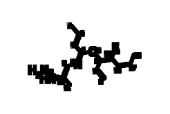 C=C/C(OC(/C=C/C)=N/C=C(\C)NN)=C(F)\C=C/C